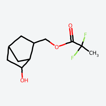 CC(F)(F)C(=O)OCC1CC2CC(O)C1C2